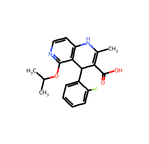 CC1=C(C(=O)O)C(c2ccccc2F)c2c(ccnc2OC(C)C)N1